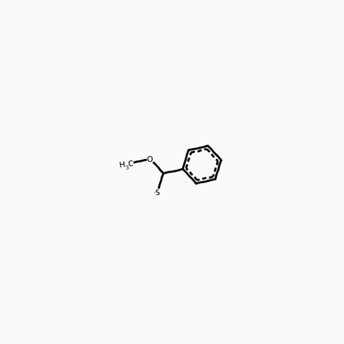 COC([S])c1ccccc1